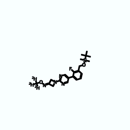 [2H]C([2H])([2H])ON=C1CN(c2ncc(-c3cccc(CO[Si](C)(C)C(C)(C)C)c3F)cn2)C1